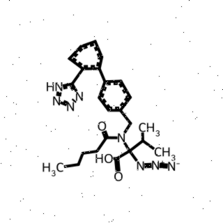 CCCCC(=O)N(Cc1ccc(-c2ccccc2-c2nnn[nH]2)cc1)C(N=[N+]=[N-])(C(=O)O)C(C)C